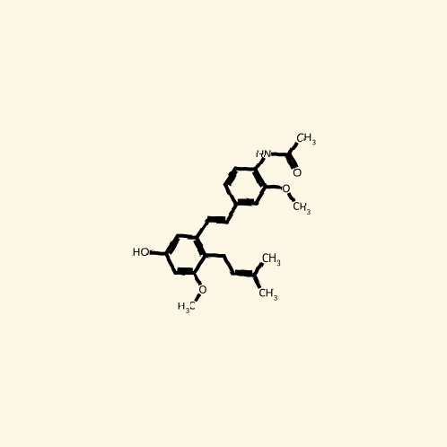 COc1cc(/C=C/c2cc(O)cc(OC)c2CC=C(C)C)ccc1NC(C)=O